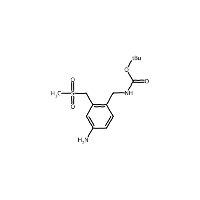 CC(C)(C)OC(=O)NCc1ccc(N)cc1CS(C)(=O)=O